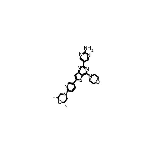 C[C@@H]1CN(c2ccc(-c3cc4nc(-c5cnc(N)nc5)nc(N5CCOCC5)c4s3)cn2)C[C@H](C)O1